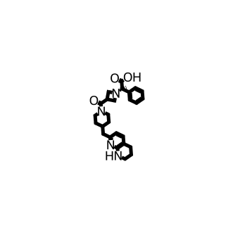 O=C(O)[C@@H](c1ccccc1)N1CC(C(=O)N2CCC(Cc3ccc4c(n3)NCCC4)CC2)C1